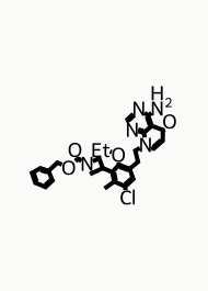 CCOc1c(CCn2ccc(=O)c3c(N)ncnc32)cc(Cl)c(C)c1C1CN(C(=O)OCc2ccccc2)C1